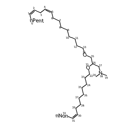 CCCCC/C=C\C/C=C\CCCCCCCCOCC(CN(C)C)OCCCCCCCC/C=C\CCCCCCCCC